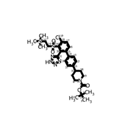 CC(C)(C)OC(=O)N1CCC(c2ccc(-c3ccc(Cl)c(S(=O)(=O)CC[Si](C)(C)C)c3-c3nn[nH]n3)cc2)CC1